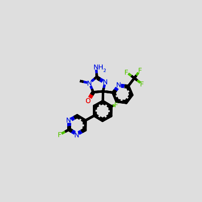 CN1C(=O)C(c2cccc(C(F)(F)F)n2)(c2cc(-c3cnc(F)nc3)ccc2F)N=C1N